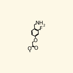 COC(=O)COc1ccc(CN)c(F)c1